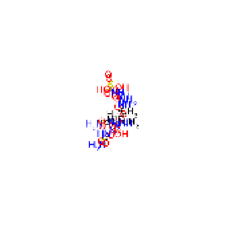 CC(C)(CCOC(C)(C)CCC(=O)NC[C@H](N)C(=O)N[C@H](CC(=O)O)C(=O)NC[C@@H](CSSCCOC=O)C(=O)O)NC(=O)CN(CCN(CC(=O)O)CC(=O)Nc1ccc(S(N)(=O)=O)cc1)CC(=O)Nc1ccc(S(N)(=O)=O)cc1